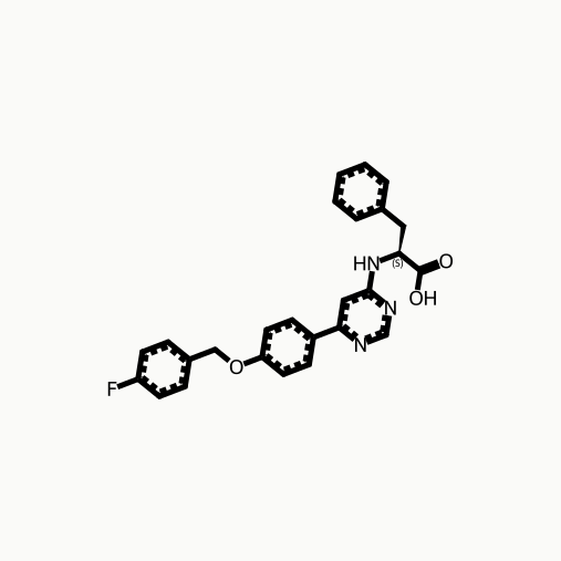 O=C(O)[C@H](Cc1ccccc1)Nc1cc(-c2ccc(OCc3ccc(F)cc3)cc2)ncn1